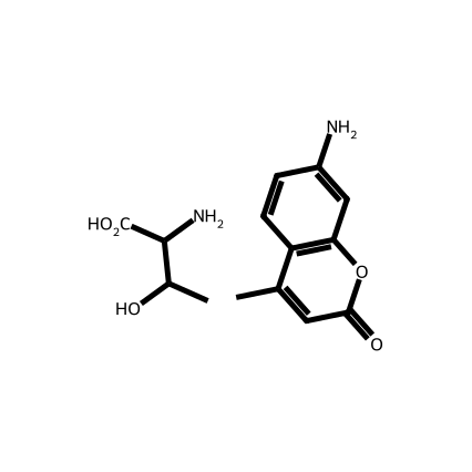 CC(O)C(N)C(=O)O.Cc1cc(=O)oc2cc(N)ccc12